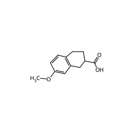 COc1ccc2c(c1)CC(C(=O)O)CC2